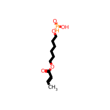 CC=CC(=O)OCCCCCCO[PH](=O)O